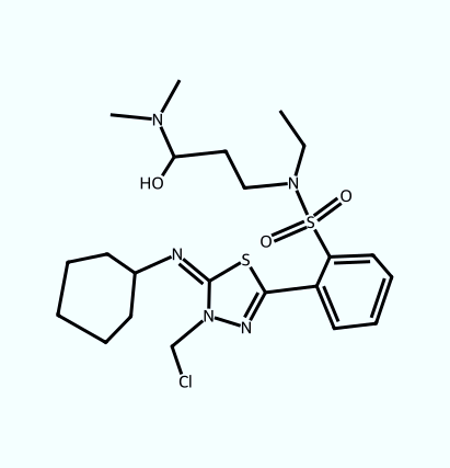 CCN(CCC(O)N(C)C)S(=O)(=O)c1ccccc1-c1nn(CCl)c(=NC2CCCCC2)s1